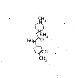 Cc1ccc(N(O)C(=O)C[N+]2(C)CCN(C)CC2)cc1Cl